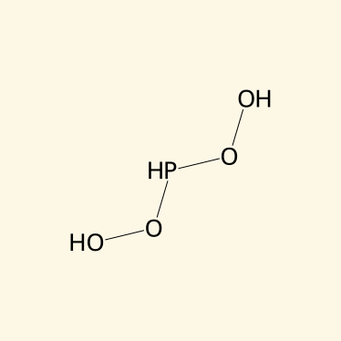 OOPOO